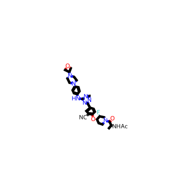 CC(=O)NC(C)C(=O)N1CC[C@H](Oc2ccc(-c3ncnc(Nc4ccc(N5CCN(C6COC6)CC5)cc4)n3)cc2C#N)[C@H](F)C1